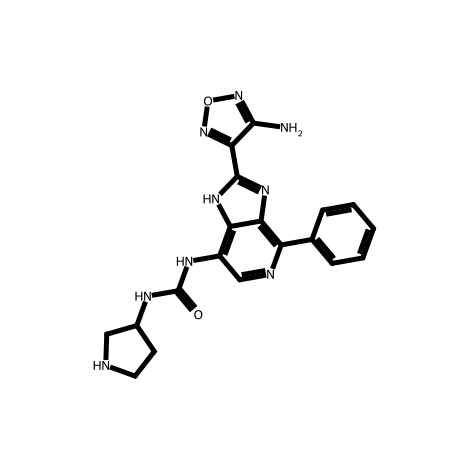 Nc1nonc1-c1nc2c(-c3ccccc3)ncc(NC(=O)NC3CCNC3)c2[nH]1